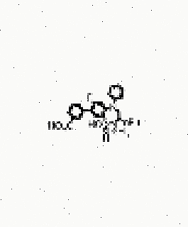 CCCCC1CN(c2ccccc2)c2cc(F)c(-c3cccc(C(=O)O)c3)cc2S(O)(O)N1C